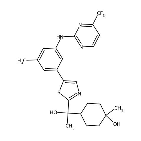 Cc1cc(Nc2nccc(C(F)(F)F)n2)cc(-c2cnc(C(C)(O)C3CCC(C)(O)CC3)s2)c1